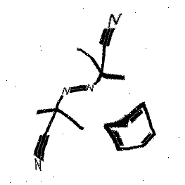 CC(C)(C#N)N=NC(C)(C)C#N.c1ccccc1